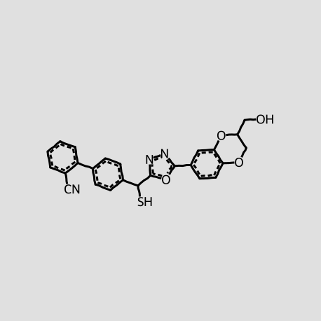 N#Cc1ccccc1-c1ccc(C(S)c2nnc(-c3ccc4c(c3)OC(CO)CO4)o2)cc1